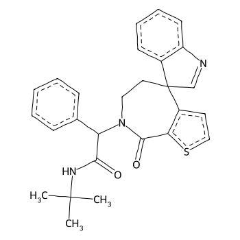 CC(C)(C)NC(=O)C(c1ccccc1)N1CCC2(C=Nc3ccccc32)c2ccsc2C1=O